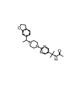 CC(=O)NC(C)(C)c1cnc(N2CCN(C(C)c3ccc4c(c3)OCC4)CC2)nc1